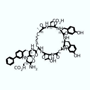 CC(O)[C@@H]1NC(=O)CNC(=O)[C@H](Cc2ccc(O)cc2)NC(=O)[C@H](Cc2ccc(O)cc2)NC(=O)[C@H](CC(=O)O)NC(=O)[C@@H](C)CSSC[C@@H](C(=O)N[C@@H](Cc2ccc(-c3ccccc3)cc2)C(=O)N[C@@H](CC(=O)O)C(N)=O)NC1=O